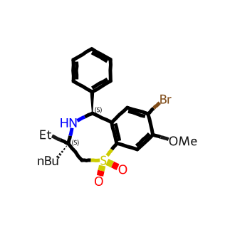 CCCC[C@@]1(CC)CS(=O)(=O)c2cc(OC)c(Br)cc2[C@H](c2ccccc2)N1